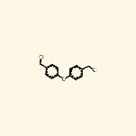 ClCc1ccc(Oc2ccc(CCl)cc2)cc1